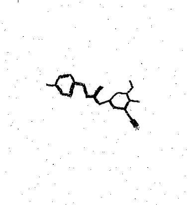 C=C(/C=C/c1ccc(C)cc1)CC1CC(C#N)C(C)C(CC)C1